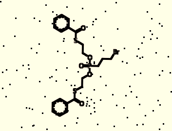 O=C(SCCOP(=O)(CCCBr)OCCSC(=O)c1ccccc1)c1ccccc1